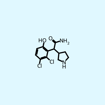 NC(=O)C(c1c(O)ccc(Cl)c1Cl)C1CCNC1